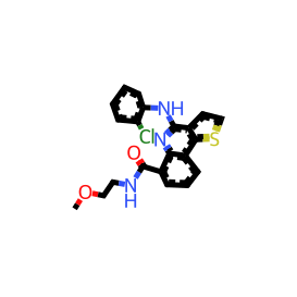 COCCNC(=O)c1cccc2c1nc(Nc1ccccc1Cl)c1ccsc12